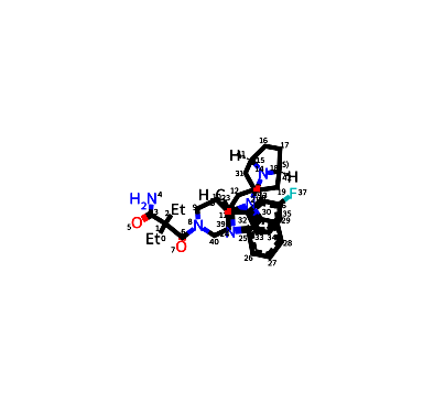 CCC(CC)(C(N)=O)C(=O)N1CCC(CCN2[C@@H]3CC[C@H]2CC(n2c(C)nc4ccccc42)C3)(c2cccc(F)c2)CC1